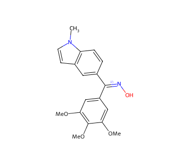 COc1cc(/C(=N\O)c2ccc3c(ccn3C)c2)cc(OC)c1OC